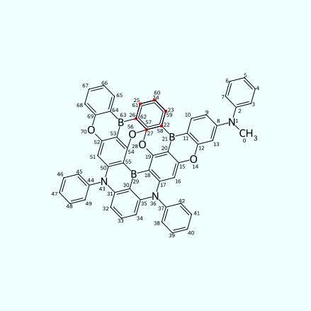 CN(c1ccccc1)c1ccc2c(c1)Oc1cc3c(c4c1B2c1ccccc1O4)B1c2c(cccc2N3c2ccccc2)N(c2ccccc2)c2cc3c4c(c21)Oc1ccccc1B4c1ccccc1O3